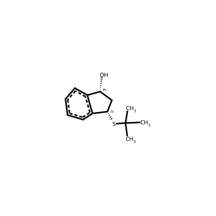 CC(C)(C)S[C@H]1C[C@@H](O)c2ccccc21